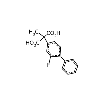 CC(C(=O)O)(C(=O)O)c1ccc(-c2ccccc2)c(F)c1